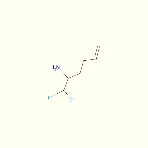 C=CCCC(N)C(F)F